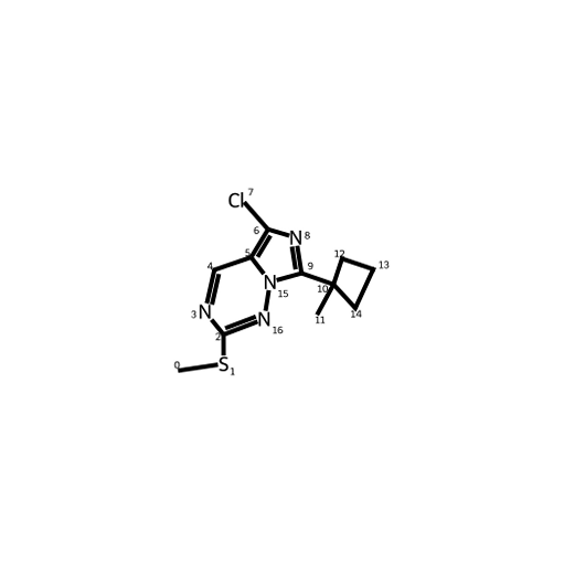 CSc1ncc2c(Cl)nc(C3(C)CCC3)n2n1